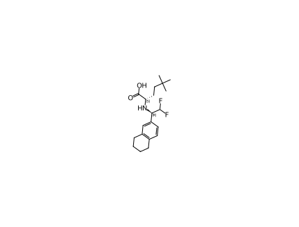 CC(C)(C)CC[C@H](N[C@H](c1ccc2c(c1)CCCC2)C(F)F)C(=O)O